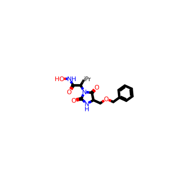 CC(C)C(C(=O)NO)N1C(=O)NC(COCc2ccccc2)C1=O